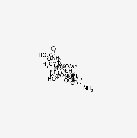 CC[C@H](C)[C@@H]([C@@H](CC(=O)N1CCC[C@H]1[C@H](OC)[C@@H](C)C(=O)N[C@@H](Cc1ccccc1)C(=O)O)OC)N(C)C(=O)[C@@H](NC(=O)C(C)(C)N(C)C(=O)CCCCCN)C(C)C.O=C(O)C(F)(F)F